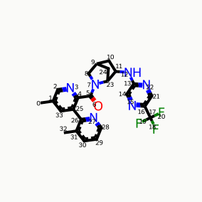 Cc1cnc(C(=O)N2CC3CC(Nc4cnc(C(F)(F)F)cn4)C2C3)c(-c2ncccc2C)c1